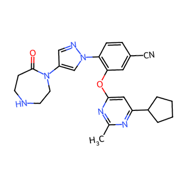 Cc1nc(Oc2cc(C#N)ccc2-n2cc(N3CCNCCC3=O)cn2)cc(C2CCCC2)n1